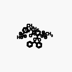 CS(=O)(=O)OC1=C(C(=O)OC(c2ccccc2)c2ccccc2)N2C(=O)[C@@H](N)[C@@H]2SC1.Cc1ccc(S(=O)(=O)O)cc1